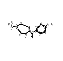 Cc1ccc(NC2CCN(C)CC2)cn1